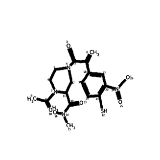 C=C(C(=O)N1CCN(C(C)=O)C(C(=O)N(C)C)C1)c1ccc(S)c([N+](=O)[O-])c1